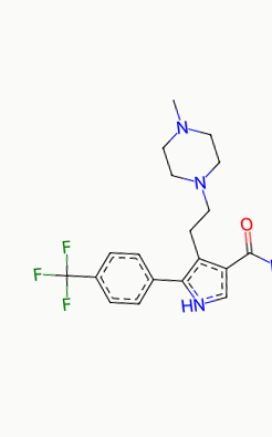 CN1CCN(CCc2c(C(N)=O)c[nH]c2-c2ccc(C(F)(F)F)cc2)CC1